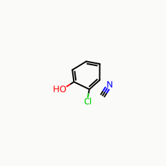 C#N.Oc1ccccc1Cl